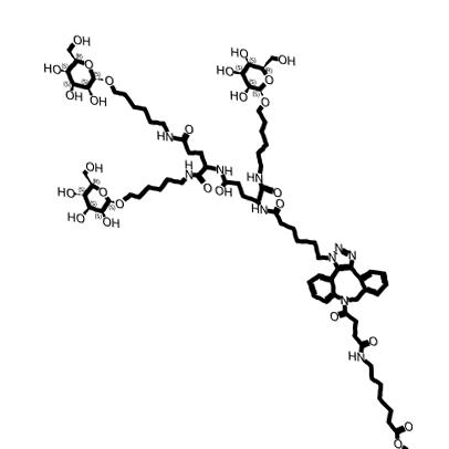 O=C(CCC(=O)N1Cc2ccccc2-c2nnn(CCCCCC(=O)NC(CCC(O)NC(CCC(=O)NCCCCCCO[C@H]3O[C@H](CO)[C@@H](O)[C@H](O)[C@@H]3O)C(=O)NCCCCCCO[C@H]3O[C@H](CO)[C@@H](O)[C@H](O)[C@@H]3O)C(=O)NCCCCCCO[C@H]3O[C@H](CO)[C@@H](O)[C@H](O)[C@@H]3O)c2-c2ccccc21)NCCCCCCC(=O)OCc1ccccc1